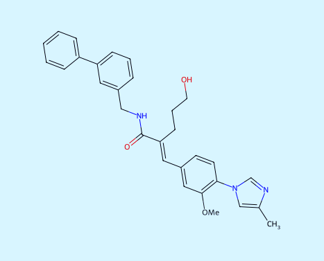 COc1cc(/C=C(\CCCO)C(=O)NCc2cccc(-c3ccccc3)c2)ccc1-n1cnc(C)c1